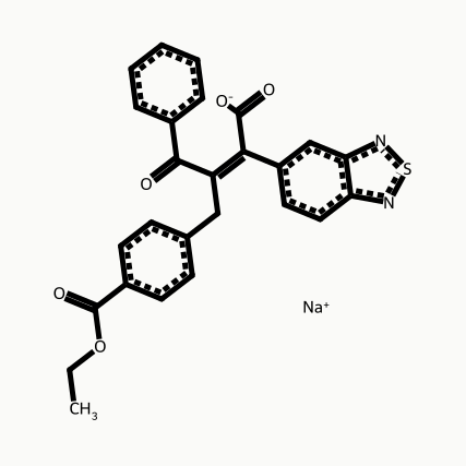 CCOC(=O)c1ccc(CC(C(=O)c2ccccc2)=C(C(=O)[O-])c2ccc3nsnc3c2)cc1.[Na+]